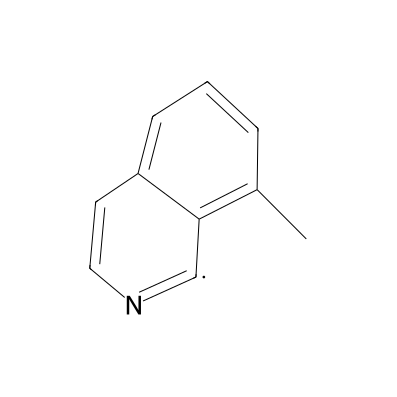 Cc1cccc2ccn[c]c12